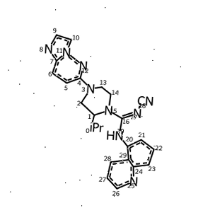 CC(C)C1CN(c2ccc3nccn3n2)CCN1C(=NC#N)Nc1cccc2ncccc12